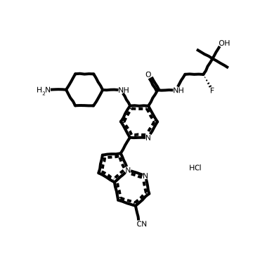 CC(C)(O)[C@H](F)CNC(=O)c1cnc(-c2ccc3cc(C#N)cnn23)cc1NC1CCC(N)CC1.Cl